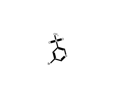 CS(=O)(=O)c1cn[c]c(Br)c1